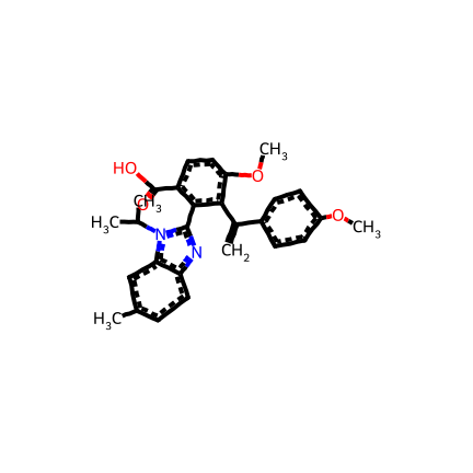 C=C(c1ccc(OC)cc1)c1c(OC)ccc(C(=O)O)c1-c1nc2ccc(C)cc2n1C(C)C